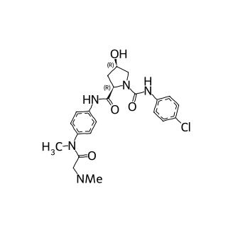 CNCC(=O)N(C)c1ccc(NC(=O)[C@H]2C[C@@H](O)CN2C(=O)Nc2ccc(Cl)cc2)cc1